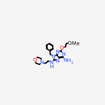 COCCOc1nc(N)c2nc(NCCN3CCOCC3)n(Cc3ccccc3)c2n1